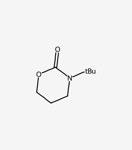 CC(C)(C)N1CCCOC1=O